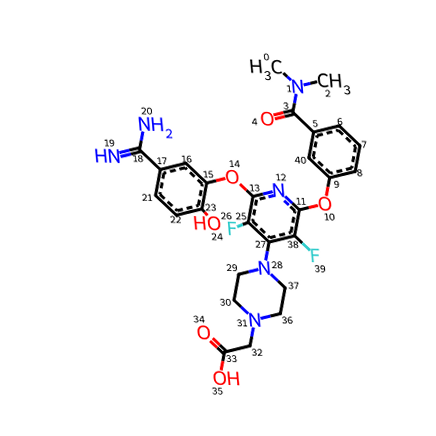 CN(C)C(=O)c1cccc(Oc2nc(Oc3cc(C(=N)N)ccc3O)c(F)c(N3CCN(CC(=O)O)CC3)c2F)c1